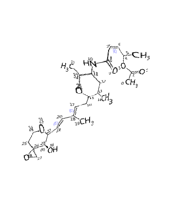 CC(=O)OC(C)/C=C\C(=O)NC1CC(C)C(C/C=C(C)/C=C/C2OCCC3(CO3)[C@@H]2O)OC1C